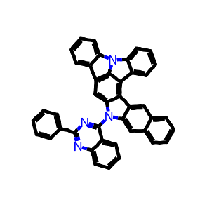 c1ccc(-c2nc(-n3c4cc5ccccc5cc4c4c5c6ccccc6n6c7ccccc7c(cc43)c56)c3ccccc3n2)cc1